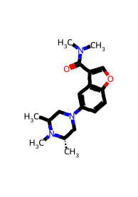 CC1CN(c2ccc3occ(C(=O)N(C)C)c3c2)C[C@H](C)N1C